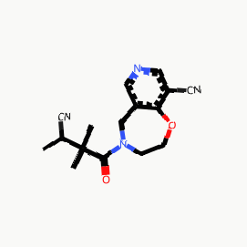 CC(C#N)C(C)(C)C(=O)N1CCOc2c(C#N)cncc2C1